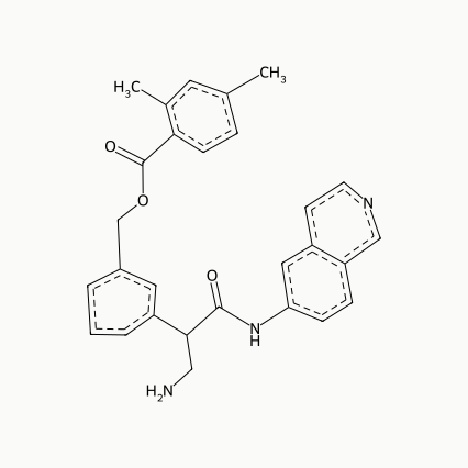 Cc1ccc(C(=O)OCc2cccc(C(CN)C(=O)Nc3ccc4cnccc4c3)c2)c(C)c1